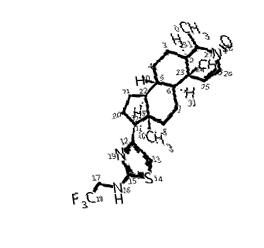 CC1[C@@H]2CC[C@@H]3[C@H](CC[C@]4(C)[C@@H](c5csc(NCC(F)(F)F)n5)CC[C@@H]34)[C@@]2(C)C=C[N+]1=O